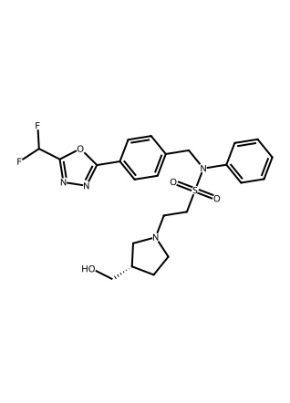 O=S(=O)(CCN1CC[C@H](CO)C1)N(Cc1ccc(-c2nnc(C(F)F)o2)cc1)c1ccccc1